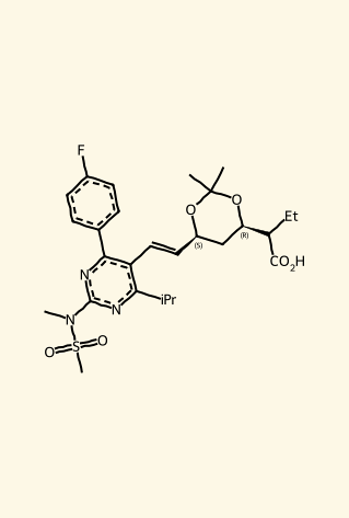 CCC(C(=O)O)[C@H]1C[C@@H](C=Cc2c(-c3ccc(F)cc3)nc(N(C)S(C)(=O)=O)nc2C(C)C)OC(C)(C)O1